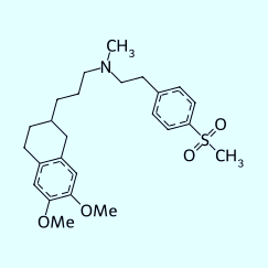 COc1cc2c(cc1OC)CC(CCCN(C)CCc1ccc(S(C)(=O)=O)cc1)CC2